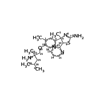 Cc1cc(C2(C)N=C(N)SC2c2ncccn2)ccc1OCC(C)(N)CC(C)C